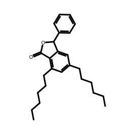 CCCCCCc1cc(CCCCCC)c2c(c1)C(c1ccccc1)OC2=O